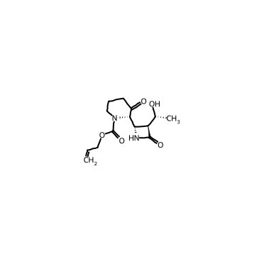 C=CCOC(=O)N1CCCC(=O)[C@@H]1[C@H]1NC(=O)[C@@H]1[C@@H](C)O